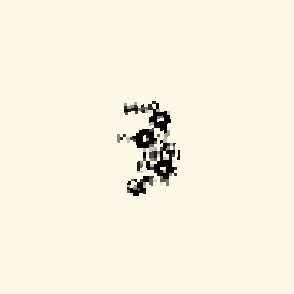 CCc1c(Cl)cc(NCc2ccco2)c(CC)c1NC(=O)N(Cc1ccc(OC)cc1)c1ccc(C(C)C)cc1